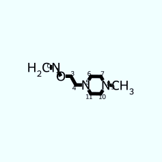 C=NOCCN1CCN(C)CC1